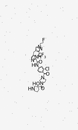 O=C(Nc1ccc(C(=O)N2CCN(C(=O)C3(O)CCCNC3)CC2)c(Cl)c1)c1ncc(Cc2cn(CCF)nc2C(F)(F)F)[nH]1